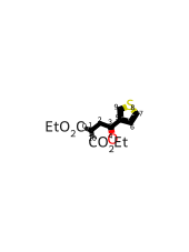 CCOC(=O)C(CC(=O)c1ccsc1)C(=O)OCC